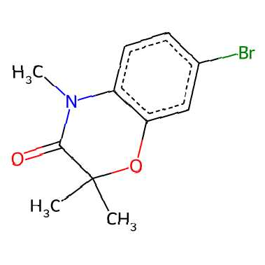 CN1C(=O)C(C)(C)Oc2cc(Br)ccc21